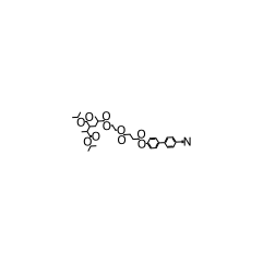 CC(C)OC(=O)C(C)C(CC(C)C(=O)OCCOC(=O)CCC(=O)Oc1ccc(-c2ccc(C#N)cc2)cc1)C(=O)OC(C)C